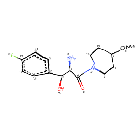 COC1CCN(C(=O)[C@H](N)[C@@H](O)c2ccc(F)cc2)CC1